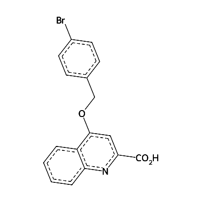 O=C(O)c1cc(OCc2ccc(Br)cc2)c2ccccc2n1